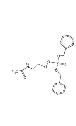 O=C(NCCOOP(=O)(OCc1ccccc1)OCc1ccccc1)C(F)(F)F